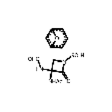 CC(=O)NC1(NC=O)CN(S(=O)(=O)O)C1=O.c1cc2cc(c1)O2